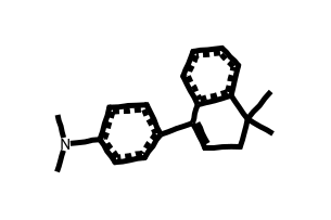 CN(C)c1ccc(C2=CCC(C)(C)c3ccccc32)cc1